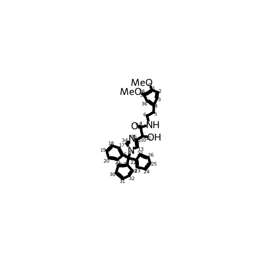 COc1ccc(CCNC(=O)C(O)c2cn(C(c3ccccc3)(c3ccccc3)c3ccccc3)cn2)cc1OC